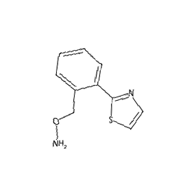 NOCc1ccccc1-c1nccs1